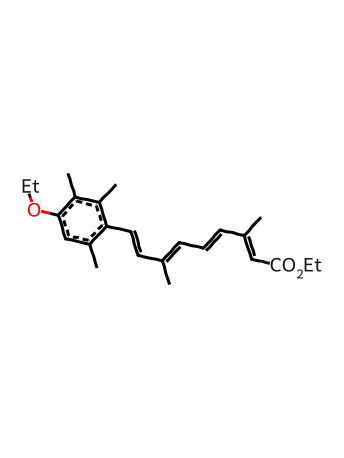 CCOC(=O)C=C(C)C=CC=C(C)C=Cc1c(C)cc(OCC)c(C)c1C